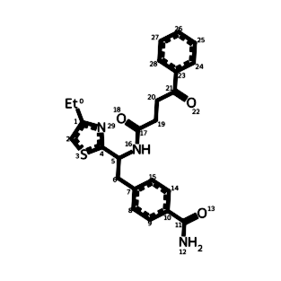 CCc1csc(C(Cc2ccc(C(N)=O)cc2)NC(=O)CCC(=O)c2ccccc2)n1